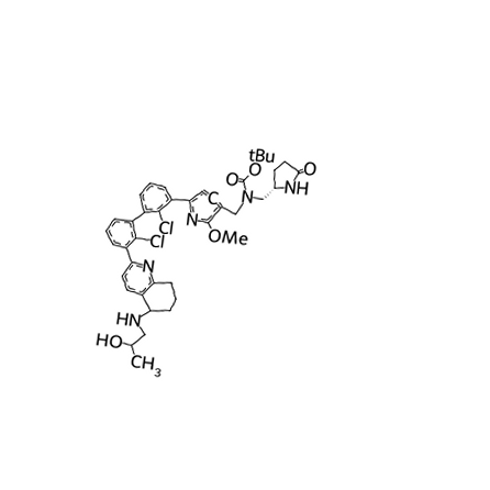 COc1nc(-c2cccc(-c3cccc(-c4ccc5c(n4)CCCC5NCC(C)O)c3Cl)c2Cl)ccc1CN(C[C@@H]1CCC(=O)N1)C(=O)OC(C)(C)C